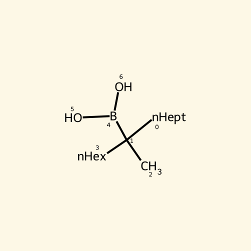 CCCCCCCC(C)(CCCCCC)B(O)O